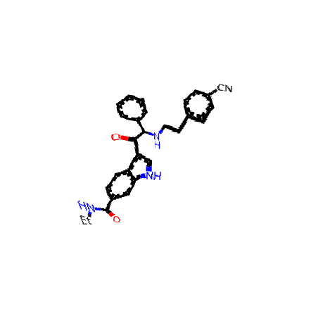 CCNC(=O)c1ccc2c(C(=O)C(NCCc3ccc(C#N)cc3)c3ccccc3)c[nH]c2c1